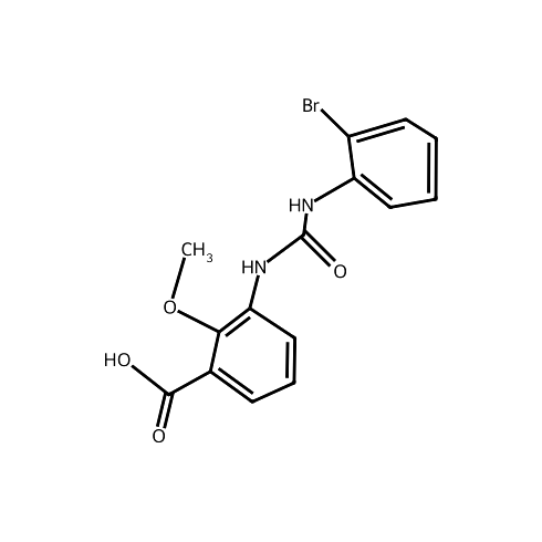 COc1c(NC(=O)Nc2ccccc2Br)cccc1C(=O)O